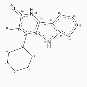 Cc1c(C2CCCCC2)c2[nH]c3ccccc3c2[nH]c1=O